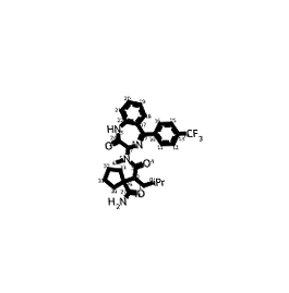 CC(C)CC(C(=O)N(C)C1N=C(c2ccc(C(F)(F)F)cc2)c2ccccc2NC1=O)C1(C(N)=O)CCCC1